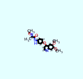 CO/N=C(\C)C(=O)Nc1ccc(Oc2ccnc3c2C=C(OC)C(OC)C3)cc1